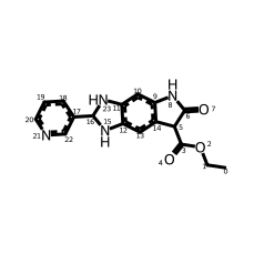 CCOC(=O)C1C(=O)Nc2cc3c(cc21)NC(c1cccnc1)N3